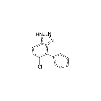 Cc1ccccc1-c1c(Cl)ccc2[nH]nnc12